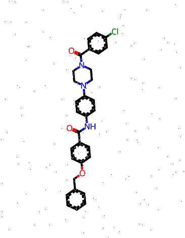 O=C(Nc1ccc(N2CCN(C(=O)c3ccc(Cl)cc3)CC2)cc1)c1ccc(OCc2ccccc2)cc1